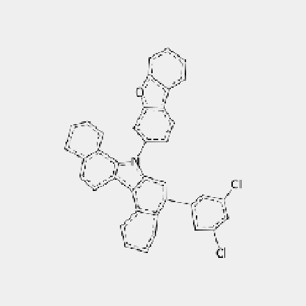 Clc1cc(Cl)cc(-c2cc3c(c4ccccc24)c2ccc4ccccc4c2n3-c2ccc3c(c2)oc2ccccc23)c1